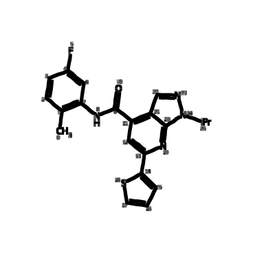 Cc1ccc(F)cc1NC(=O)c1cc(-c2cccs2)nc2c1cnn2C(C)C